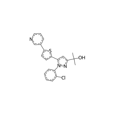 CC(C)(O)c1cc(-c2ccc(-c3cccnc3)s2)n(-c2ccccc2Cl)n1